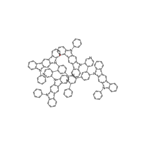 c1ccc(-c2cc(-c3ccc(-n4c5ccccc5c5cc6c7ccccc7n(-c7ccccc7)c6cc54)c(-c4ccncc4-n4c5ccccc5c5cc6c7ccccc7n(-c7ccccc7)c6cc54)c3)nc(-c3ccc(-n4c5ccccc5c5cc6c7ccccc7n(-c7ccccc7)c6cc54)c(-c4ccncc4-n4c5ccccc5c5cc6c7ccccc7n(-c7ccccc7)c6cc54)c3)n2)cc1